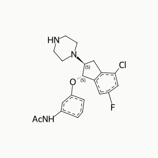 CC(=O)Nc1cccc(O[C@H]2c3cc(F)cc(Cl)c3C[C@@H]2N2CCNCC2)c1